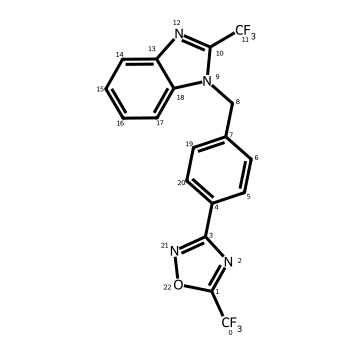 FC(F)(F)c1nc(-c2ccc(Cn3c(C(F)(F)F)nc4ccccc43)cc2)no1